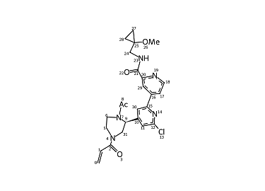 C=CC(=O)N1CCN(C(C)=O)[C@@H](c2cc(Cl)nc(-c3ccnc(C(=O)NCC4(OC)CC4)c3)c2)C1